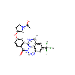 CC(=O)N1CC[C@H](Oc2ccc3c(=O)n(C)nc(N[C@H](C)c4cc(N)cc(C(F)(F)F)c4)c3c2)C1